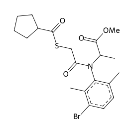 COC(=O)C(C)N(C(=O)CSC(=O)C1CCCC1)c1c(C)ccc(Br)c1C